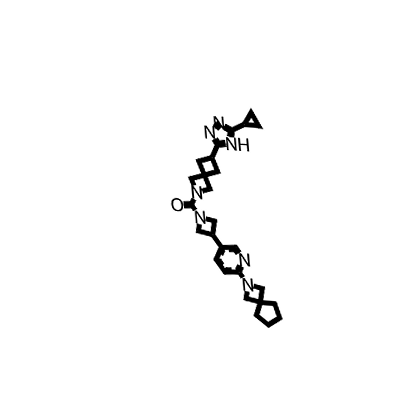 O=C(N1CC(c2ccc(N3CC4(CCCC4)C3)nc2)C1)N1CC2(CC(c3nnc(C4CC4)[nH]3)C2)C1